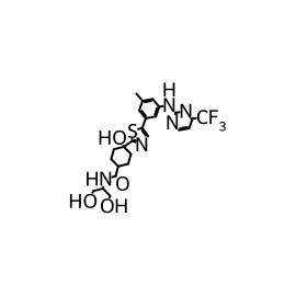 Cc1cc(Nc2nccc(C(F)(F)F)n2)cc(-c2cnc(C3(O)CCC(C(=O)NC(CO)CO)CC3)s2)c1